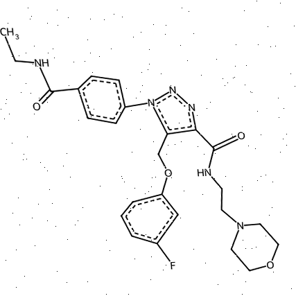 CCNC(=O)c1ccc(-n2nnc(C(=O)NCCN3CCOCC3)c2COc2cccc(F)c2)cc1